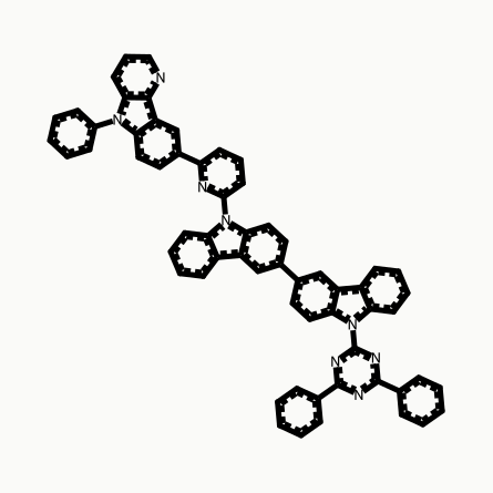 c1ccc(-c2nc(-c3ccccc3)nc(-n3c4ccccc4c4cc(-c5ccc6c(c5)c5ccccc5n6-c5cccc(-c6ccc7c(c6)c6ncccc6n7-c6ccccc6)n5)ccc43)n2)cc1